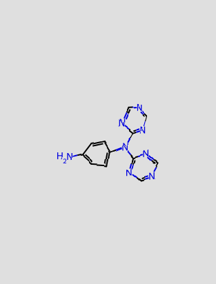 Nc1ccc(N(c2ncncn2)c2ncncn2)cc1